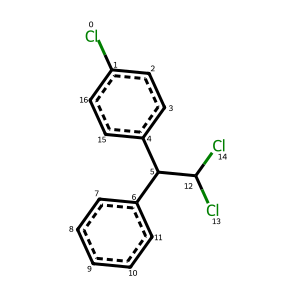 Clc1ccc(C(c2ccccc2)C(Cl)Cl)cc1